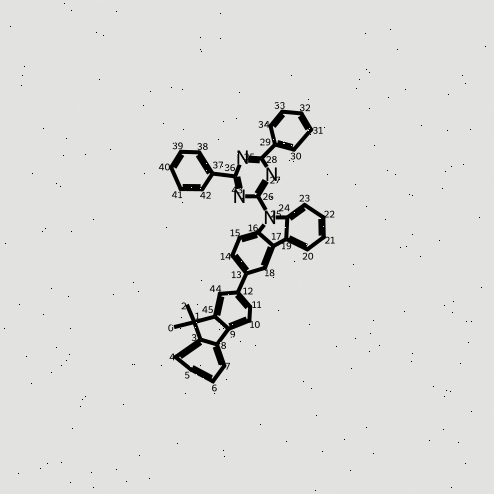 CC1(C)c2ccccc2-c2ccc(-c3ccc4c(c3)c3ccccc3n4-c3nc(-c4ccccc4)nc(-c4ccccc4)n3)cc21